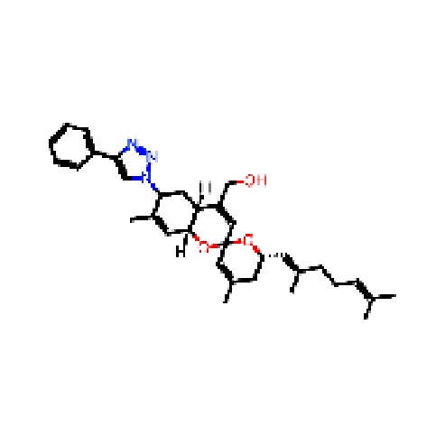 CC(C)=CCC/C(C)=C/[C@@H]1CC(C)=C[C@]2(C=C(CO)[C@H]3CC(n4cc(-c5ccccc5)nn4)C(C)=C[C@H]3O2)O1